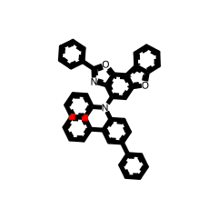 c1ccc(-c2ccc(N(c3ccccc3)c3cc4oc5ccccc5c4c4oc(-c5ccccc5)nc34)c(-c3ccccc3)c2)cc1